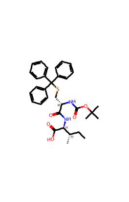 CC[C@H](C)[C@H](NC(=O)[C@H](CSC(c1ccccc1)(c1ccccc1)c1ccccc1)NC(=O)OC(C)(C)C)C(=O)O